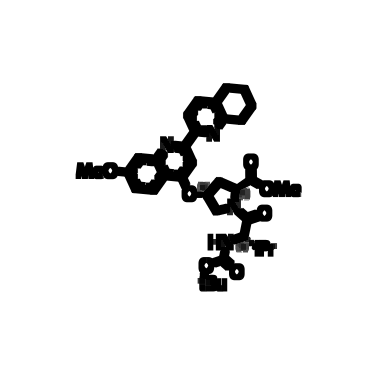 COC(=O)[C@@H]1C[C@@H](Oc2cc(-c3ccc4c(n3)CCCC4)nc3cc(OC)ccc23)CN1C(=O)[C@@H](NC(=O)OC(C)(C)C)C(C)C